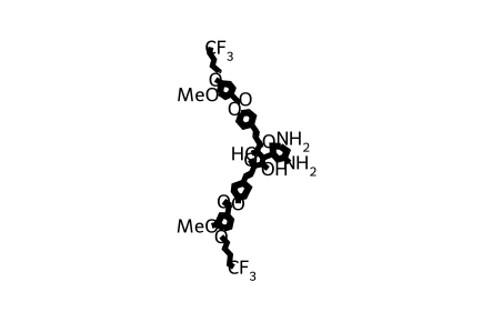 COc1cc(C(=O)Oc2ccc(/C=C/C(=O)C(O)C(c3cc(N)cc(N)c3)C(O)C(=O)/C=C/c3ccc(OC(=O)c4ccc(OCCCCC(F)(F)F)c(OC)c4)cc3)cc2)ccc1OCCCCC(F)(F)F